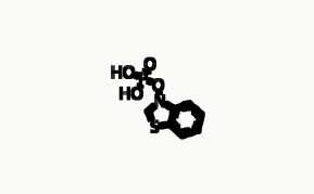 O=P(O)(O)ON1CSc2ccccc21